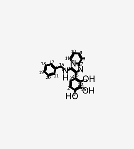 Oc1ccc(-c2nc3ccccn3c2NCc2ccccc2)c(O)c1O